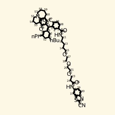 CCCCC1=CC2=C(c3cc(C(=O)NCCCCCOCCOCCOCCC(=O)Nc4ccc5nc(C#N)sc5c4)ccc3C(=O)O)c3cc4c5c(c3OC2=C(CCC)C1)CCCN5CCCC4